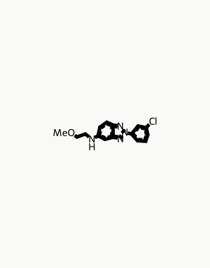 COCCNc1ccc2nn(-c3cccc(Cl)c3)nc2c1